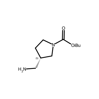 CC(C)COC(=O)N1CC[C@@H](CN)C1